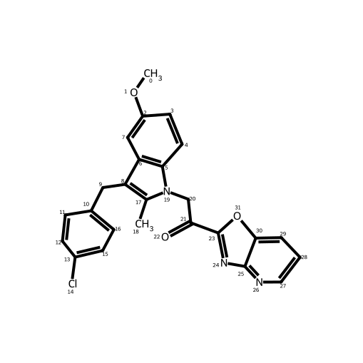 COc1ccc2c(c1)c(Cc1ccc(Cl)cc1)c(C)n2CC(=O)c1nc2ncccc2o1